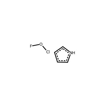 FOCl.c1cc[nH]c1